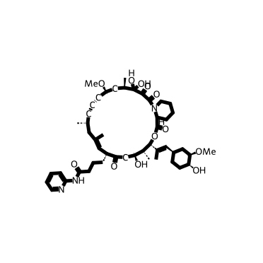 CO[C@@H]1CCC[C@@H](C)C/C(C)=C/[C@@H](CCCC(=O)Nc2ccccn2)C(=O)C[C@H](O)[C@@H](C)[C@@H](/C(C)=C/[C@@H]2CC[C@@H](O)[C@H](OC)C2)OC(=O)[C@@H]2CCCCN2C(=O)C(=O)C(O)(O)[C@H](C)C1